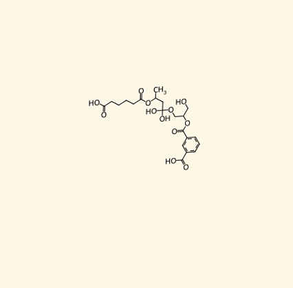 CC(CC(O)(O)OCC(CO)OC(=O)c1cccc(C(=O)O)c1)OC(=O)CCCCC(=O)O